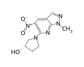 Cn1ncc2cc([N+](=O)[O-])c(N3CC[C@H](O)C3)nc21